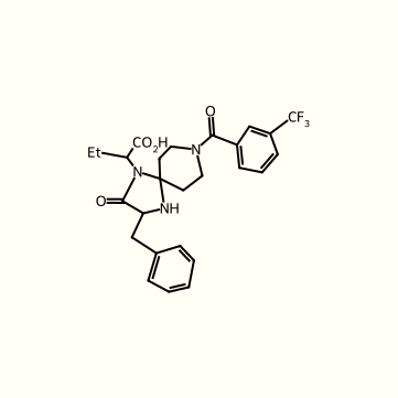 CCC(C(=O)O)N1C(=O)C(Cc2ccccc2)NC12CCN(C(=O)c1cccc(C(F)(F)F)c1)CC2